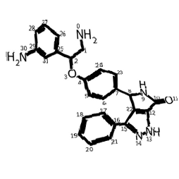 NCC(Oc1ccc(C2NC(=O)c3[nH]nc(-c4ccccc4)c32)cc1)c1cccc(N)c1